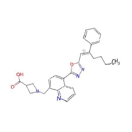 CCCC/C(=C\c1nnc(-c2ccc(CN3CC(C(=O)O)C3)c3ncccc23)o1)c1ccccc1